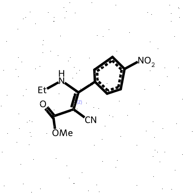 CCN/C(=C(/C#N)C(=O)OC)c1ccc([N+](=O)[O-])cc1